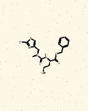 CC(C)c1nc(CN(C)C(=O)N[C@H](CCO)C(=O)OCc2ccccc2)cs1